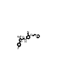 CNc1cc(-c2ccc(F)cc2)sc1C(=O)Nc1ccc(OCCN2CCCC2)c(C#N)c1